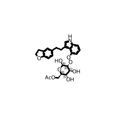 CC(=O)OC[C@H]1O[C@@H](O)[C@H](OOc2cccc3[nH]cc(CCc4ccc5c(c4)CCO5)c23)[C@@H](O)[C@@H]1O